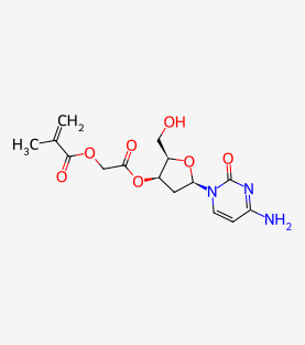 C=C(C)C(=O)OCC(=O)O[C@@H]1C[C@H](n2ccc(N)nc2=O)O[C@@H]1CO